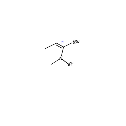 C/C=C(\N(C)C(C)C)C(C)(C)C